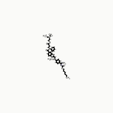 CCCCCCOC(=O)/N=C(\N)c1ccc(NCc2nc3cc(C(=O)N(CCC(=O)OCCN(CC)CC)c4ccccn4)ccc3n2C)cc1